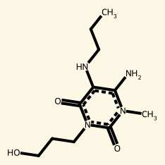 CCCNc1c(N)n(C)c(=O)n(CCCO)c1=O